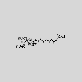 CCCCCCCC/C=C\CCCCCCCC(=O)OC(CCCCCCCC)(CCCCCCCC)CCCCCCCCCCC